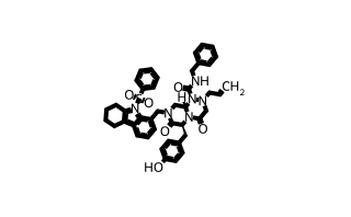 C=CCN1CC(=O)N2[C@@H](Cc3ccc(O)cc3)C(=O)N(Cc3cccc4c5c(n(S(=O)(=O)c6ccccc6)c34)CCCC5)C[C@@H]2N1C(=O)NCc1ccccc1